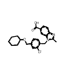 Cc1nc2ccc(C(=O)O)cc2n1Cc1ccc(COC2CCCCC2)cc1Cl